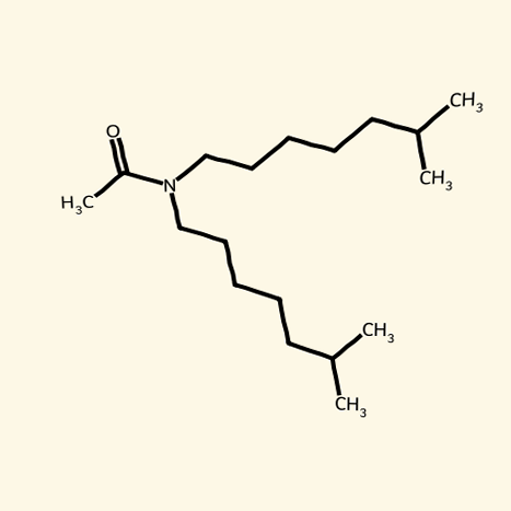 CC(=O)N(CCCCCC(C)C)CCCCCC(C)C